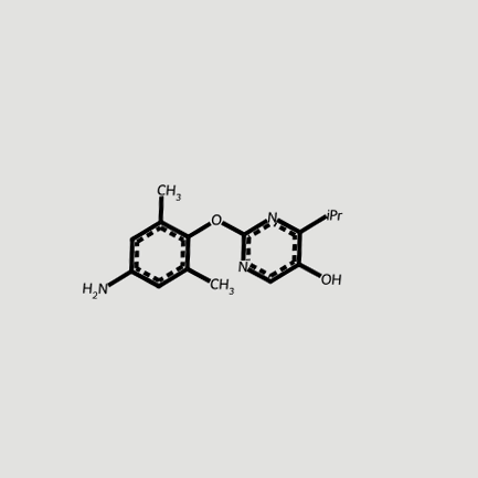 Cc1cc(N)cc(C)c1Oc1ncc(O)c(C(C)C)n1